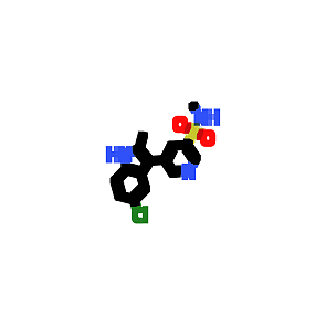 CNS(=O)(=O)c1cncc(-c2c(C)[nH]c3ccc(Cl)cc23)c1